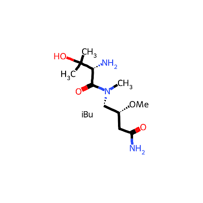 CC[C@H](C)[C@@H]([C@@H](CC(N)=O)OC)N(C)C(=O)[C@@H](N)C(C)(C)O